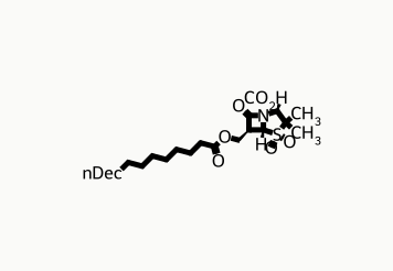 CCCCCCCCCCCCCCCCCC(=O)OC[C@H]1C(=O)N2[C@@H](C(=O)O)C(C)(C)S(=O)(=O)[C@H]12